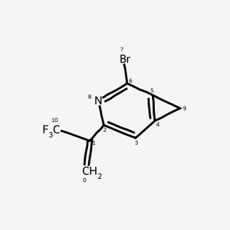 C=C(c1cc2c(c(Br)n1)C2)C(F)(F)F